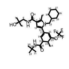 Cc1c(C(=O)NCC(C)(C)O)cc(C2=CC(C(=O)NC(C)(C)C)C(C)C(OC(F)(F)F)=C2)n1CC1CCCCC1